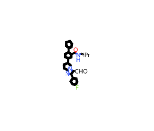 CC(C)CNC(=O)c1cc(-c2ccc3nc(-c4ccc(F)cc4)c(C=O)n3c2)ccc1-c1ccccc1